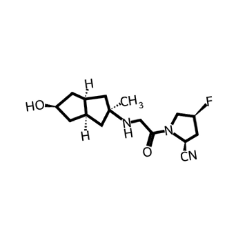 C[C@]1(NCC(=O)N2C[C@@H](F)C[C@H]2C#N)C[C@H]2C[C@@H](O)C[C@H]2C1